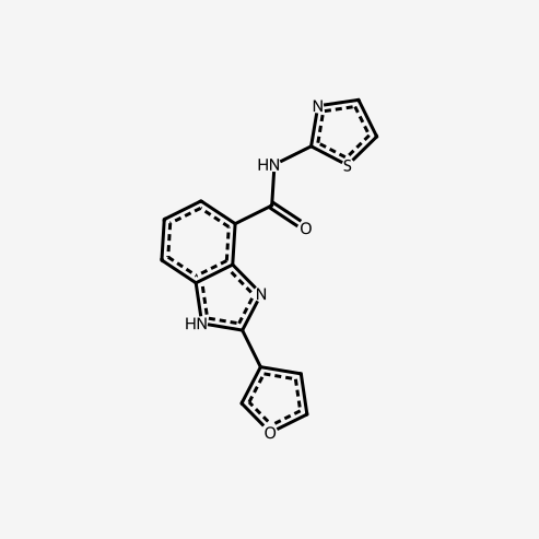 O=C(Nc1nccs1)c1cccc2[nH]c(-c3ccoc3)nc12